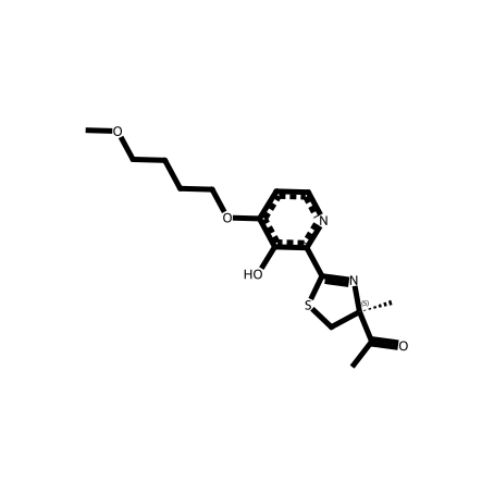 COCCCCOc1ccnc(C2=N[C@@](C)(C(C)=O)CS2)c1O